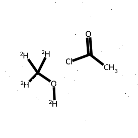 CC(=O)Cl.[2H]OC([2H])([2H])[2H]